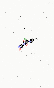 Cc1ccc2c(ccn2-c2cc(Cl)c3c(c2)C2(COC2)N(Cc2cc[nH]c(=O)c2)CCO3)c1